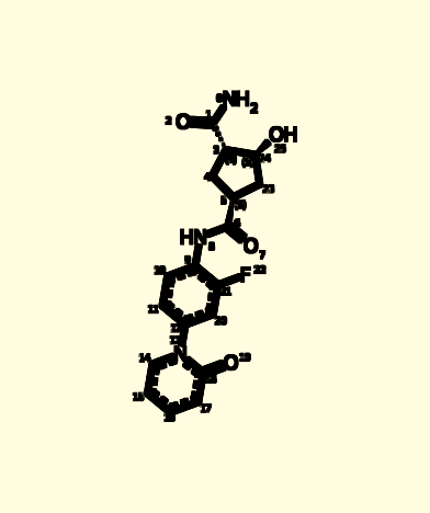 NC(=O)[C@H]1C[C@H](C(=O)Nc2ccc(-n3ccccc3=O)cc2F)C[C@@H]1O